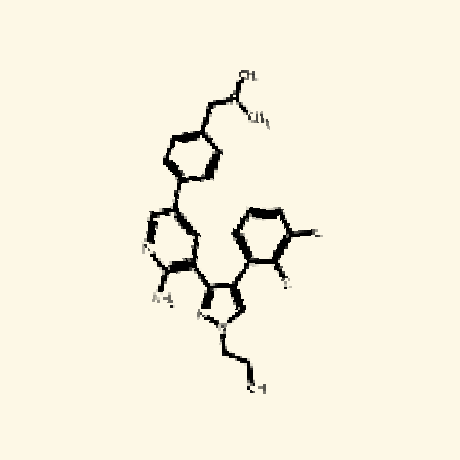 CN(C)Cc1ccc(-c2cnc(N)c(-c3nn(CCO)cc3-c3cccc(Cl)c3Cl)c2)cc1